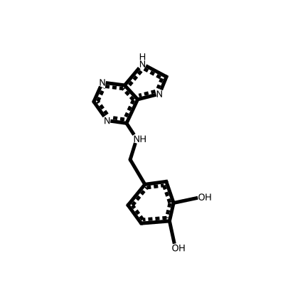 Oc1ccc(CNc2ncnc3[nH]cnc23)cc1O